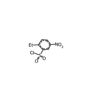 CCc1ccc([N+](=O)[O-])cc1S(=O)(=O)Cl